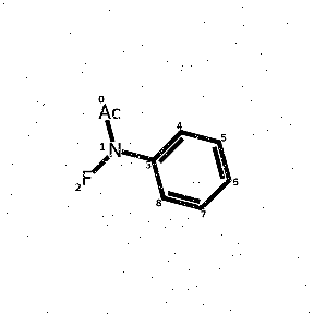 CC(=O)N(F)c1ccccc1